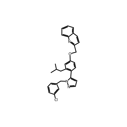 CC(C)Cc1cc(OCc2ccc3ccccc3n2)ccc1-c1ccnn1Cc1cccc(Cl)c1